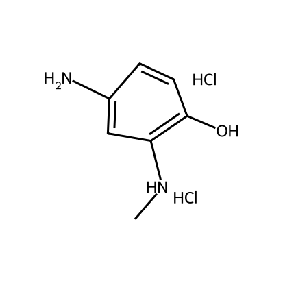 CNc1cc(N)ccc1O.Cl.Cl